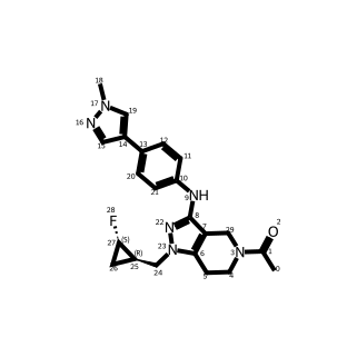 CC(=O)N1CCc2c(c(Nc3ccc(-c4cnn(C)c4)cc3)nn2C[C@H]2C[C@@H]2F)C1